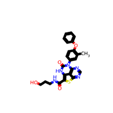 Cc1cc(N2C(=O)Nc3c(C(=O)NCCCO)sc4ncnc2c34)ccc1Oc1ccccc1